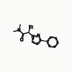 CCC(C(=O)N(C)C)n1ccc(-c2ccccc2)n1